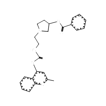 Cc1cc(NC(=O)NCCN2CCC(NC(=O)c3ccccc3)C2)c2ccccc2n1